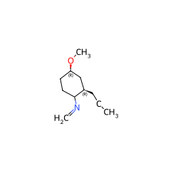 C=NC1CC[C@@H](OC)C[C@H]1CCC